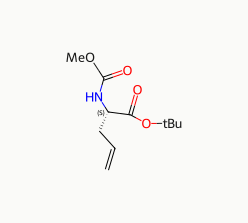 C=CC[C@H](NC(=O)OC)C(=O)OC(C)(C)C